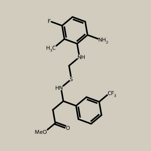 COC(=O)CC(NSCNc1c(N)ccc(F)c1C)c1cccc(C(F)(F)F)c1